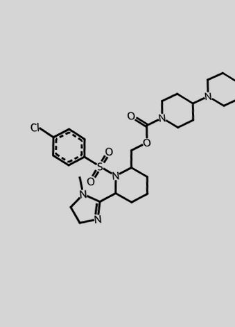 CN1CCN=C1C1CCCC(COC(=O)N2CCC(N3CCCCC3)CC2)N1S(=O)(=O)c1ccc(Cl)cc1